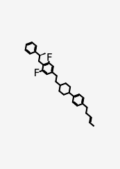 C/C=C/CCc1ccc(C2CCC(CCc3cc(F)c(C[C@H](C)c4ccccc4)c(F)c3)CC2)cc1